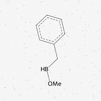 COBCc1ccccc1